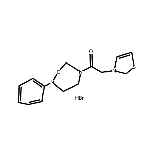 Br.O=C(CN1C=CSC1)N1CCN(c2ccccc2)CC1